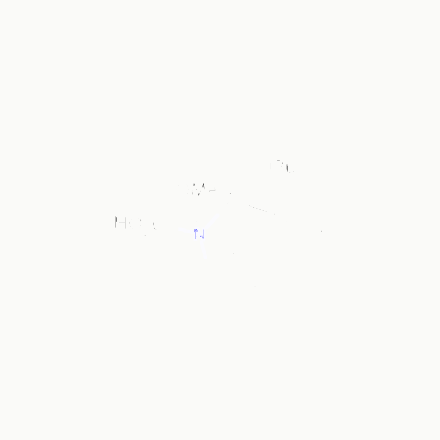 COC=C1C2CCC1(C(C)(C)C)CN(C(=O)O)C2